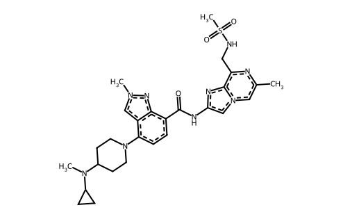 Cc1cn2cc(NC(=O)c3ccc(N4CCC(N(C)C5CC5)CC4)c4cn(C)nc34)nc2c(CNS(C)(=O)=O)n1